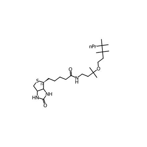 CCCC(C)(C)C(C)(C)CCOC(C)(C)CCNC(=O)CCCC[C@@H]1SCC2NC(=O)NC21